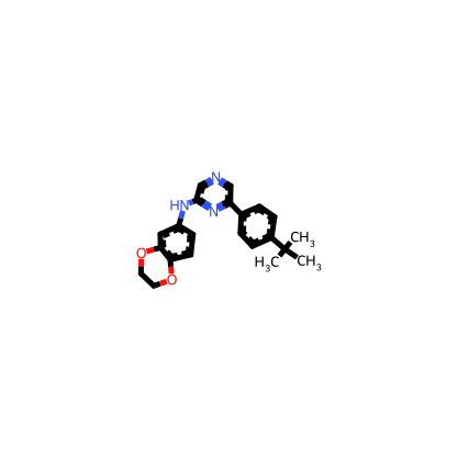 CC(C)(C)c1ccc(-c2cncc(Nc3ccc4c(c3)OCCO4)n2)cc1